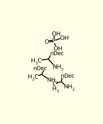 CCCCCCCCCCC(C)N.CCCCCCCCCCC(C)N.CCCCCCCCCCC(C)N.O=P(O)(O)O